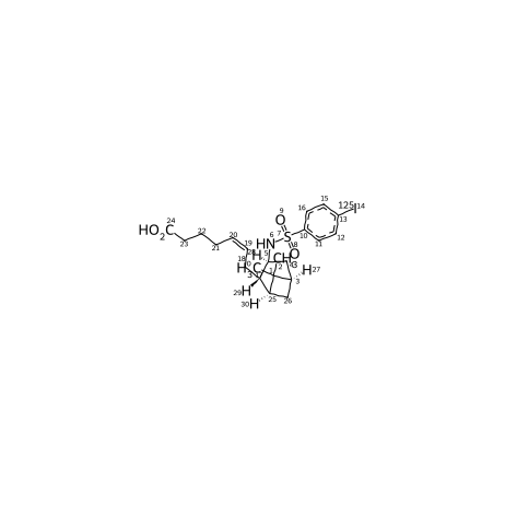 CC1(C)[C@H]2C[C@H](NS(=O)(=O)c3ccc([125I])cc3)[C@@H](C/C=C\CCCC(=O)O)[C@@H]1C2